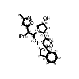 Cc1cc(C(C(=O)N2C[C@H](O)C[C@H]2C2=NO[C@@]3(CCc4ccccc43)N2)C(C)C)on1